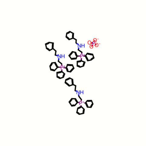 O=P([O-])([O-])[O-].c1ccc(CCNCC[P+](c2ccccc2)(c2ccccc2)c2ccccc2)cc1.c1ccc(CCNCC[P+](c2ccccc2)(c2ccccc2)c2ccccc2)cc1.c1ccc(CCNCC[P+](c2ccccc2)(c2ccccc2)c2ccccc2)cc1